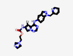 CCc1c(NC(=O)OCCn2ccnc2)cn2ncnc(Nc3ccc4c(cnn4Cc4ccccn4)c3)c12